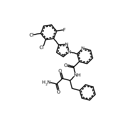 NC(=O)C(=O)C(Cc1ccccc1)NC(=O)c1cccnc1-n1ccc(-c2c(F)ccc(Cl)c2Cl)n1